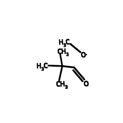 CC(C)(C)C=O.C[O]